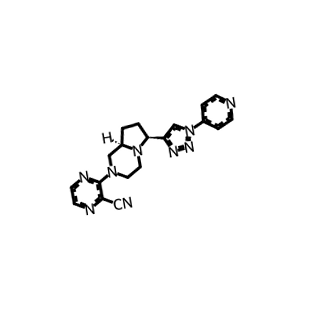 N#Cc1nccnc1N1CCN2[C@H](CC[C@H]2c2cn(-c3ccncc3)nn2)C1